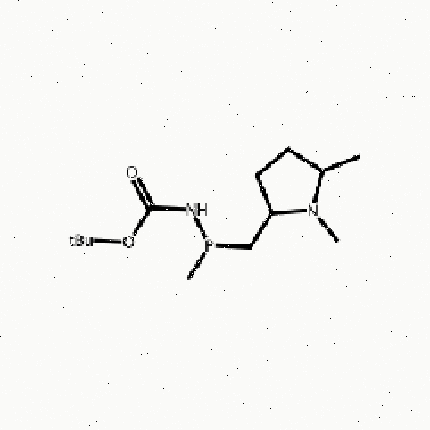 CC1CCC(CP(C)NC(=O)OC(C)(C)C)N1C